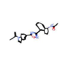 CC(=O)NC1CCCc2c(-c3noc(-c4ccc5c(ccn5C(C)C)c4)n3)cccc21